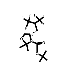 CC(C)(C)OC(=O)N1[C@@H](CC(C(F)(F)F)C(F)(F)F)COC1(C)C